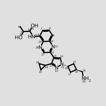 CC(O)C(O)Nc1cccc2nc(-c3cn([C@H]4C[C@H](CN)C4)nc3C3CC3)cnc12